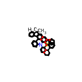 CC1(C)c2ccccc2-c2c(-c3ccccc3N(c3ccccc3-c3cccc4cccc(C5CCCCC5)c34)c3cccc4c3sc3ccccc34)cccc21